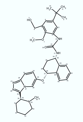 COc1c(CO)cc(C(C)(C)C)cc1NC(=O)N[C@H]1CC[C@@H](Oc2ccc3nnc([C@@H]4CCCCN4C)n3c2)c2ccccc21